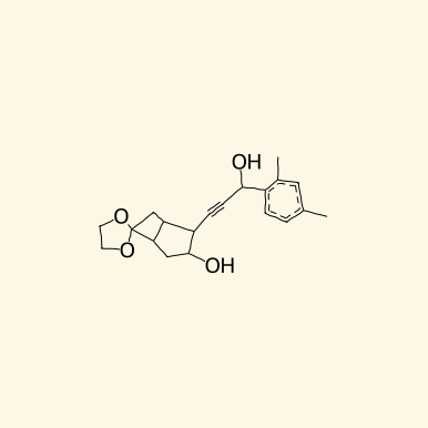 Cc1ccc(C(O)C#CC2C(O)CC3C2CC32OCCO2)c(C)c1